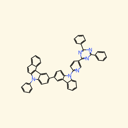 c1ccc(-c2nc(-c3ccccc3)nc(-c3ccc(-n4c5ccccc5c5cc(-c6ccc7c(c6)c6c8ccccc8ccc6n7-c6ccccc6)ccc54)nc3)n2)cc1